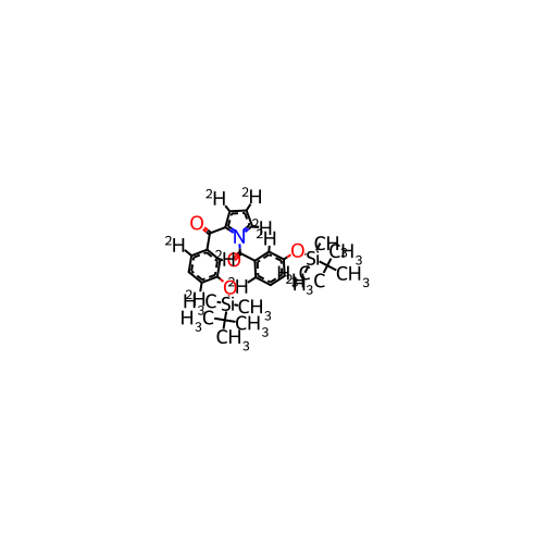 [2H]c1cc([2H])c(C(=O)c2c([2H])c([2H])c([2H])n2C(=O)c2c([2H])cc([2H])c(O[Si](C)(C)C(C)(C)C)c2[2H])c([2H])c1O[Si](C)(C)C(C)(C)C